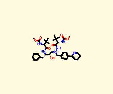 COC(=O)N[C@H](C(=O)N[C@@H](Cc1ccccc1)[C@@H](O)CN(Cc1ccc(C2=CCCC=N2)cc1)NC(=O)[C@@H](NC(=O)OC)C(C)(C)C)C(C)(C)C